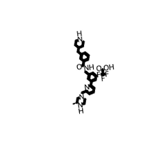 C[C@H]1CN(Cc2cccc(-c3cccc(CNC(=O)c4cccc(CC5CCNCC5)c4)c3)n2)CCN1.O=C(O)C(F)(F)F